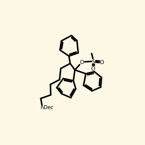 CCCCCCCCCCCCCCCC(c1ccccc1)C(OS(C)(=O)=O)(c1ccccc1)c1ccccc1